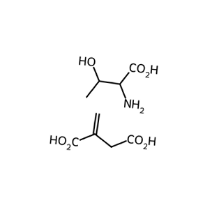 C=C(CC(=O)O)C(=O)O.CC(O)C(N)C(=O)O